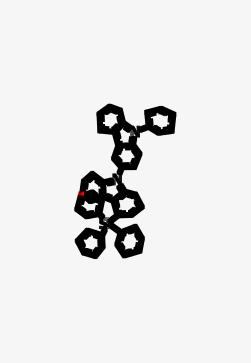 c1ccc(-n2c3ccccc3c3cc(-n4c5ccccc5c5c([Si](c6ccccc6)(c6ccccc6)c6ccccc6)cccc54)ccc32)cc1